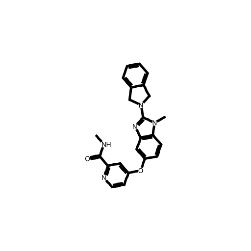 CNC(=O)c1cc(Oc2ccc3c(c2)nc(N2Cc4ccccc4C2)n3C)ccn1